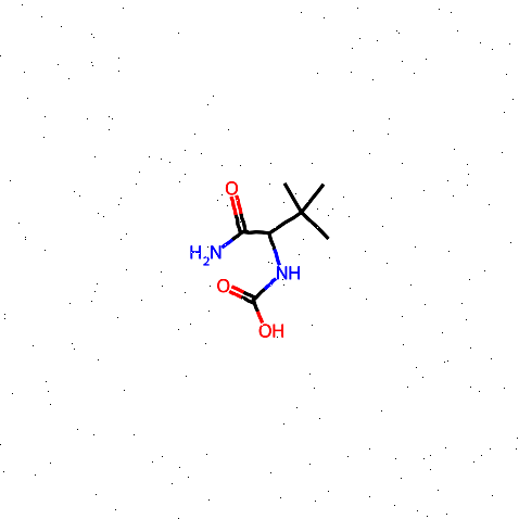 CC(C)(C)C(NC(=O)O)C(N)=O